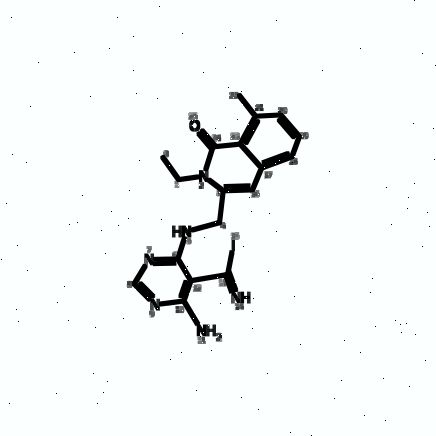 CCn1c(CNc2ncnc(N)c2C(=N)I)cc2cccc(C)c2c1=O